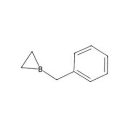 c1ccc(CB2CC2)cc1